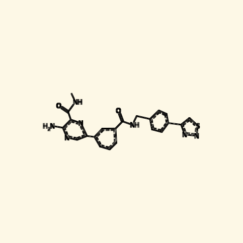 CNC(=O)c1nc(-c2cccc(C(=O)NCc3ccc(-c4csnn4)cc3)c2)cnc1N